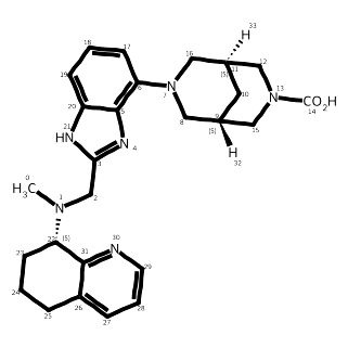 CN(Cc1nc2c(N3C[C@@H]4C[C@H](CN(C(=O)O)C4)C3)cccc2[nH]1)[C@H]1CCCc2cccnc21